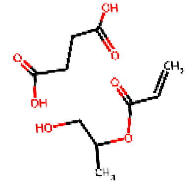 C=CC(=O)OC(C)CO.O=C(O)CCC(=O)O